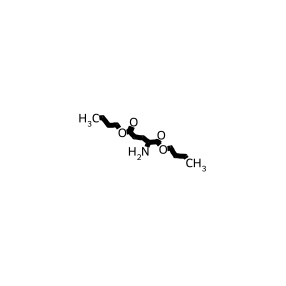 CCCCOC(=O)CCC(N)C(=O)OCCCC